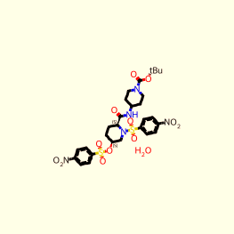 CC(C)(C)OC(=O)N1CCC(NC(=O)[C@@H]2CC[C@H](OS(=O)(=O)c3ccc([N+](=O)[O-])cc3)CN2S(=O)(=O)c2ccc([N+](=O)[O-])cc2)CC1.O